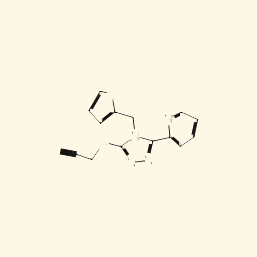 C#CCSc1nnc(-c2ccccn2)n1Cc1cccs1